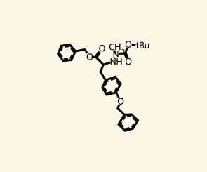 CN(NC(Cc1ccc(OCc2ccccc2)cc1)C(=O)OCc1ccccc1)C(=O)OC(C)(C)C